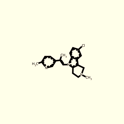 CC(=Cn1c2c(c3cc(Cl)ccc31)CN(C)CC2)c1ccc(C)nc1